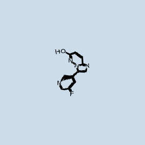 Oc1ccc2ncc(-c3cncc(F)c3)n2n1